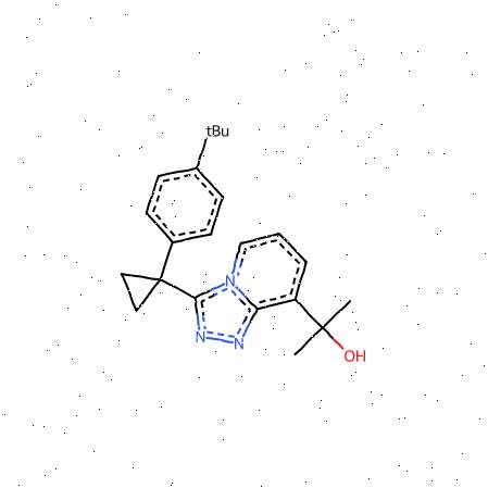 CC(C)(C)c1ccc(C2(c3nnc4c(C(C)(C)O)cccn34)CC2)cc1